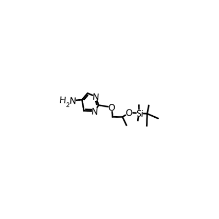 CC(COc1ncc(N)cn1)O[Si](C)(C)C(C)(C)C